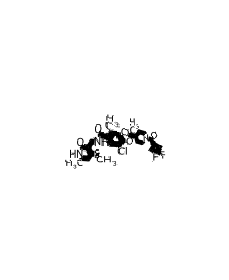 CSc1cc(C)[nH]c(=O)c1CNC(=O)c1cc(Cl)c2c(c1C)OC(C)(C1CCN(C(=O)C3CC(F)(F)C3)CC1)O2